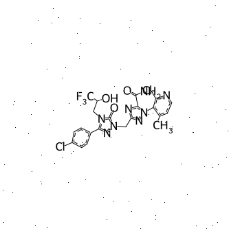 Cc1ccnc(Cl)c1-n1nc(Cn2nc(-c3ccc(Cl)cc3)n(CC(O)C(F)(F)F)c2=O)nc1C(N)=O